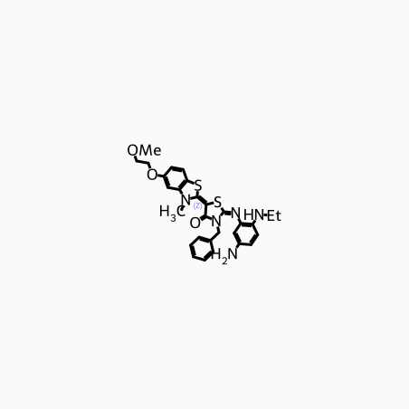 CCNc1ccc(N)cc1N=C1S/C(=C2\Sc3ccc(OCCOC)cc3N2C)C(=O)N1Cc1ccccc1